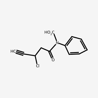 C#CC(Cl)CC(=O)N(C(=O)O)c1ccccc1